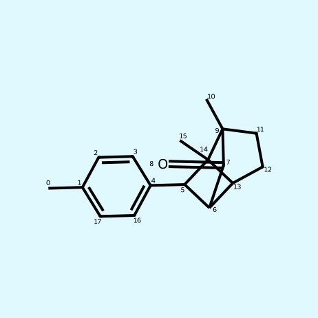 Cc1ccc(C2C3C(=O)C4(C)CCC3C24C)cc1